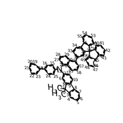 CC1(C)c2ccccc2-c2ccc(N(c3ccc(-c4ccccc4)cc3)c3cccc4c(-c5ccc6c(c5)C5(c7ccccc7-c7ccccc75)c5ccccc5-6)cccc34)cc21